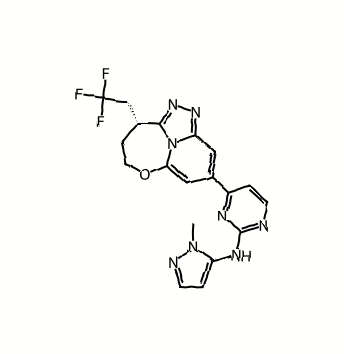 Cn1nccc1Nc1nccc(-c2cc3n4c(nnc4c2)[C@@H](CC(F)(F)F)CCO3)n1